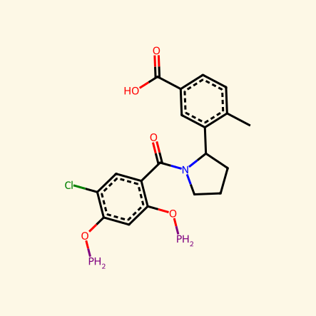 Cc1ccc(C(=O)O)cc1C1CCCN1C(=O)c1cc(Cl)c(OP)cc1OP